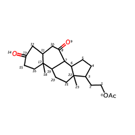 CC(=O)OCCC1CCC2C3C(=O)CC4CC(=O)CCC4(C)C3CCC12C